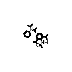 CC(=O)Nc1c(C(C)C)cccc1C(C)C.CC(C)N(c1ccccc1)C(C)C